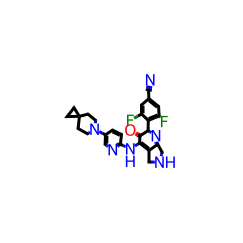 N#Cc1cc(F)c(C2N=C3CNCC3=C(Nc3ccc(N4CCC5(CC4)CC5)cn3)C2=O)c(F)c1